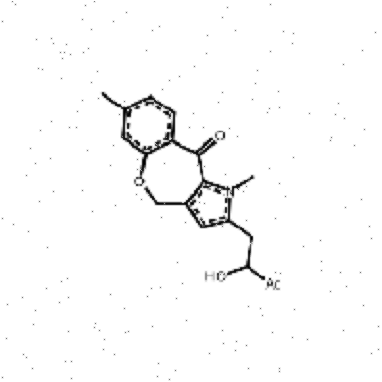 CC(=O)C(O)Cc1cc2c(n1C)C(=O)c1ccc(C)cc1OC2